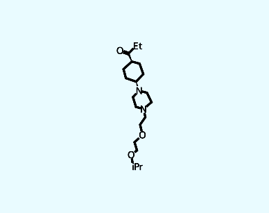 CCC(=O)[C@H]1CC[C@H](N2CCN(CCOCCOC(C)C)CC2)CC1